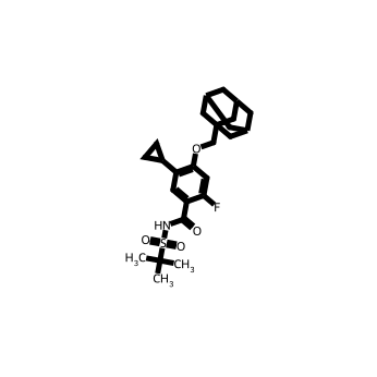 CC(C)(C)S(=O)(=O)NC(=O)c1cc(C2CC2)c(OCC23CC4CC(CC(C4)C2)C3)cc1F